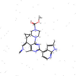 C=N/C=C(\c1c(C)nc(-c2ccnc3[nH]c(C)cc23)nc1N1CCN(C(=O)OC(C)(C)C)CC1)C1CC1